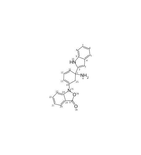 NC1(c2cc3ccccc3[nH]2)C=CC=C(n2oc(=O)c3ccccc32)C1